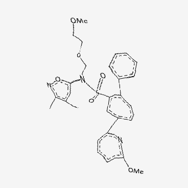 COCCOCN(c1onc(C)c1C)S(=O)(=O)c1cc(-c2cccc(OC)n2)ccc1-c1ccccc1